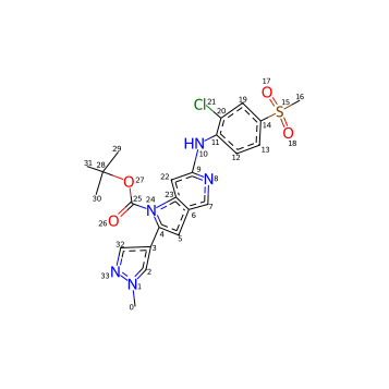 Cn1cc(-c2cc3cnc(Nc4ccc(S(C)(=O)=O)cc4Cl)cc3n2C(=O)OC(C)(C)C)cn1